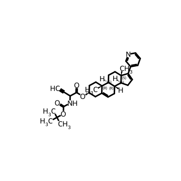 C#CC(NC(=O)OC(C)(C)C)C(=O)O[C@H]1CC[C@@]2(C)C(=CC[C@@H]3[C@@H]2CC[C@]2(C)C(c4cccnc4)=CC[C@@H]32)C1